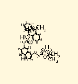 CN(C)c1ccccc1C(NC(=O)Cc1ccc2[nH]cc(CCC(=O)OC(C)(C)C)c2c1)c1ccccc1